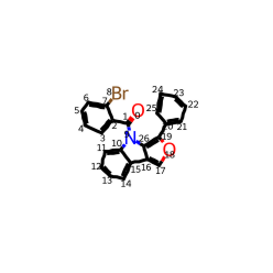 O=C(c1ccccc1Br)n1c2ccccc2c2coc(-c3ccccc3)c21